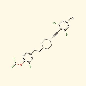 CCCc1cc(F)c(C#C[C@H]2CC[C@H](CCc3ccc(OC(F)F)c(F)c3)CC2)c(F)c1